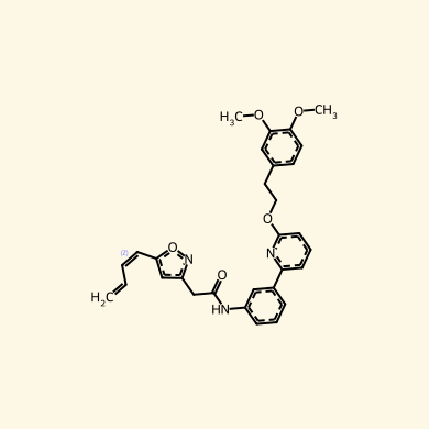 C=C/C=C\c1cc(CC(=O)Nc2cccc(-c3cccc(OCCc4ccc(OC)c(OC)c4)n3)c2)no1